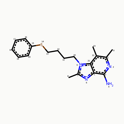 Cc1nc(N)c2nc(C)n(CCCCSc3ccccc3)c2c1C